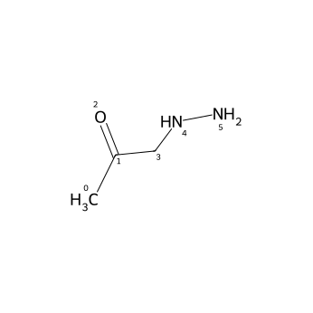 CC(=O)CNN